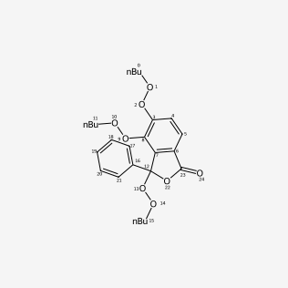 CCCCOOc1ccc2c(c1OOCCCC)C(OOCCCC)(c1ccccc1)OC2=O